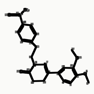 COc1ccc(C2=NN(CCc3ccc([N+](=O)[O-])cc3)C(=O)CC2)cc1OC